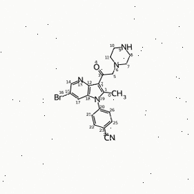 Cc1c(C(=O)CN2CCNCC2)c2ncc(Br)cc2n1-c1ccc(C#N)cc1